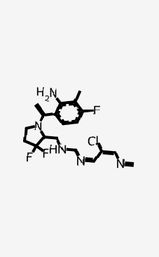 C=N/C=C(Cl)\C=N/CNCC1N(C(=C)c2ccc(F)c(C)c2N)CCC1(F)F